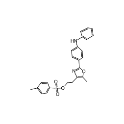 Cc1ccc(S(=O)(=O)OCCc2nc(-c3ccc(Nc4ccccc4)cc3)oc2C)cc1